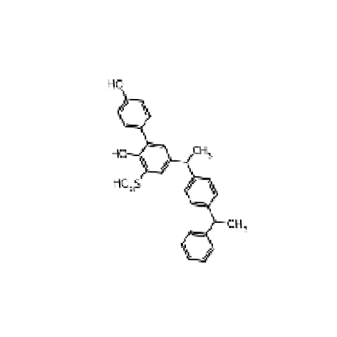 CC(c1ccccc1)c1ccc(C(C)c2cc(-c3ccc(O)cc3)c(O)c(S(=O)(=O)O)c2)cc1